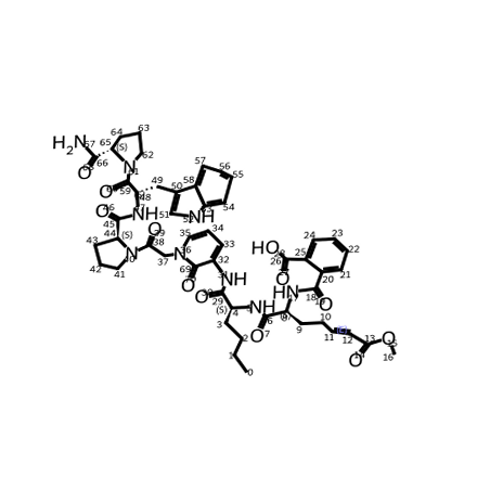 CCCC[C@H](NC(=O)[C@H](CC/C=C/C(=O)OC)NC(=O)c1ccccc1C(=O)O)C(=O)Nc1cccn(CC(=O)N2CCC[C@H]2C(=O)N[C@@H](Cc2c[nH]c3ccccc23)C(=O)N2CCC[C@H]2C(N)=O)c1=O